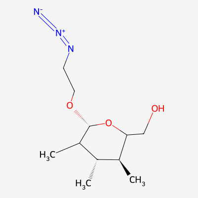 CC1[C@H](OCCN=[N+]=[N-])OC(CO)[C@@H](C)[C@@H]1C